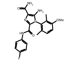 COc1ccc(C)c(-n2c(C(=O)Nc3ccc(F)cc3)nc(C(N)=O)c2N)c1C